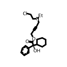 CCN(CC#CCOC(=O)[C@@](O)(c1ccccc1)C1CCCCC1)CCCl